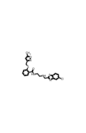 Cc1cc(CSc2ccccc2C(=O)NCCNCc2nc3cc(Cl)ccc3s2)no1